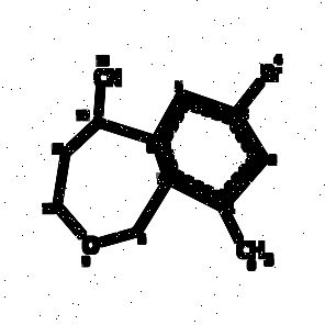 Cc1cc(Br)cc2c1COCCC2C#N